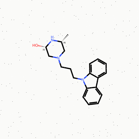 C[C@@H]1CN(CCCn2c3ccccc3c3ccccc32)C[C@H](O)N1